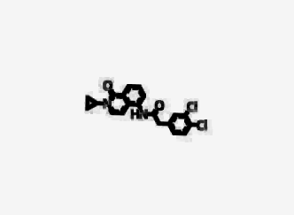 O=C(Cc1ccc(Cl)c(Cl)c1)Nc1cccc2c(=O)n(C3CC3)ccc12